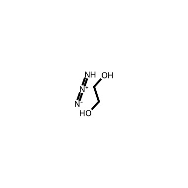 OCCO.[N-]=[N+]=N